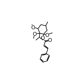 COC1CC(C)CC(OC)(OC(=O)/C=C/c2ccccc2)C1(OC)C(C)C